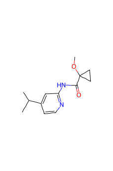 COC1(C(=O)Nc2cc(C(C)C)ccn2)CC1